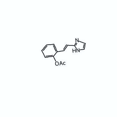 CC(=O)Oc1ccccc1/C=C/c1ncc[nH]1